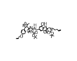 C=CCCCN(CC(=O)Nc1c(Cl)cc(CN/C(=N/C(=O)c2c(-c3ccc(OCC=C)cc3)noc2C)NC(=O)OC(C)(C)C)cc1Cl)C(=O)OC(C)(C)C